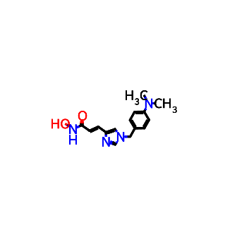 CN(C)c1ccc(Cn2cnc(/C=C/C(=O)NO)c2)cc1